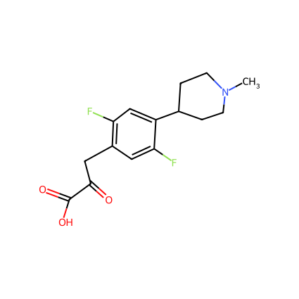 CN1CCC(c2cc(F)c(CC(=O)C(=O)O)cc2F)CC1